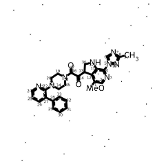 COc1cnc(-n2cnc(C)n2)c2c1C(C(=O)C(=O)N1CCN(c3ncccc3-c3ccccc3)CC1)CN2